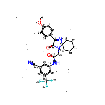 COc1ccc(C2=NC3(CCCCC3)N(CC(=O)Nc3cc(C#N)cc(C(F)(F)F)c3)C2=O)cc1